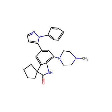 CN1CCN(c2cc(-c3ccnn3-c3ccccc3)cc3c2NC(=O)C32CCCC2)CC1